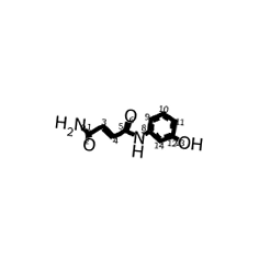 NC(=O)C=CC(=O)Nc1cccc(O)c1